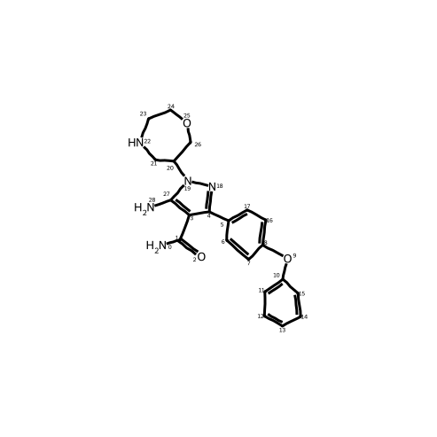 NC(=O)c1c(-c2ccc(Oc3ccccc3)cc2)nn(C2CNCCOC2)c1N